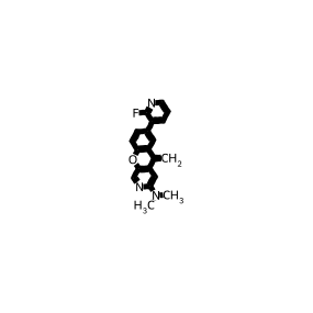 C=C1c2cc(-c3cccnc3F)ccc2Oc2cnc(N(C)C)cc21